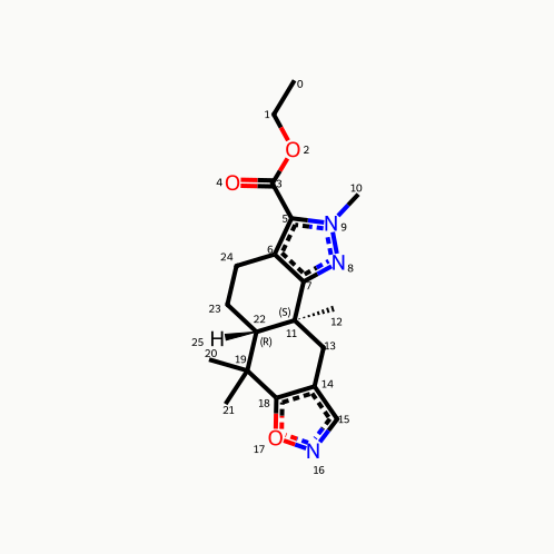 CCOC(=O)c1c2c(nn1C)[C@@]1(C)Cc3cnoc3C(C)(C)[C@@H]1CC2